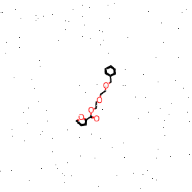 O=C(OCCOCCOCc1ccccc1)c1ccco1